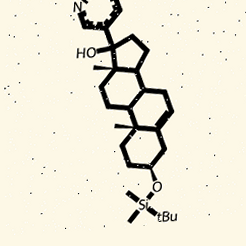 CC(C)(C)[Si](C)(C)O[C@H]1CC[C@@]2(C)C(=CCC3C2CC[C@@]2(C)C3CCC2(O)c2cccnc2)C1